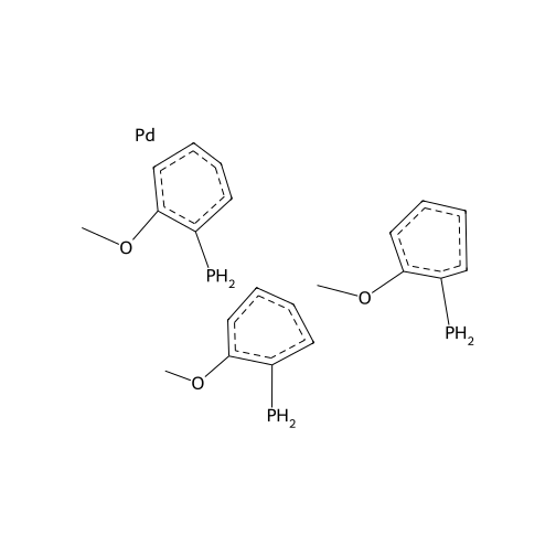 COc1ccccc1P.COc1ccccc1P.COc1ccccc1P.[Pd]